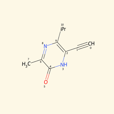 C#Cc1[nH]c(=O)c(C)nc1C(C)C